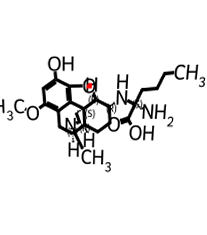 CCCC[C@](N)(N[C@@H]1CC[C@H]2[C@H]3Cc4c(OC)cc(O)c5c4[C@@]2(CCN3C)[C@H]1O5)C(=O)O